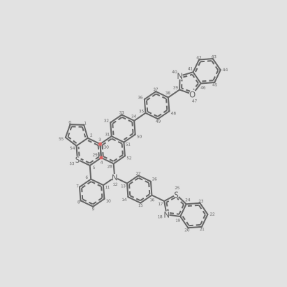 c1cc2ccc(-c3ccccc3N(c3ccc(-c4nc5ccccc5s4)cc3)c3ccc4ccc(-c5ccc(-c6nc7ccccc7o6)cc5)cc4c3)sc-2c1